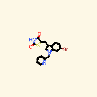 O=C1NC(=O)/C(=C/c2cn(Cc3ccccn3)c3cc(Br)ccc23)S1